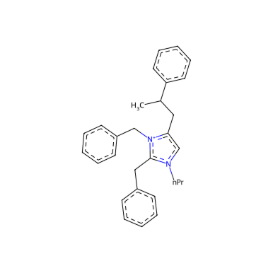 CCCn1cc(CC(C)c2ccccc2)[n+](Cc2ccccc2)c1Cc1ccccc1